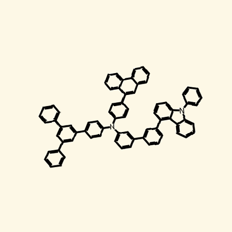 c1ccc(-c2cc(-c3ccccc3)cc(-c3ccc(N(c4ccc(-c5cc6ccccc6c6ccccc56)cc4)c4cccc(-c5cccc(-c6cccc7c6c6ccccc6n7-c6ccccc6)c5)c4)cc3)c2)cc1